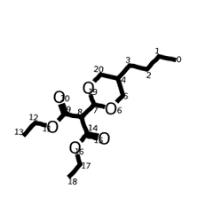 CCCCC1COC(C(C(=O)OCC)C(=O)OCC)OC1